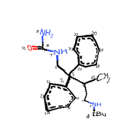 CC(CNC(C)(C)C)C(CNC(N)=O)(c1ccccc1)c1ccccc1